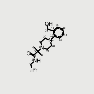 CC(C)CNC(=O)C(C)(C)N1CCN(c2ccccc2CO)CC1